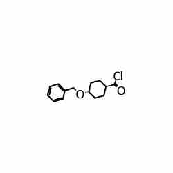 O=C(Cl)[C@H]1CC[C@H](OCc2ccccc2)CC1